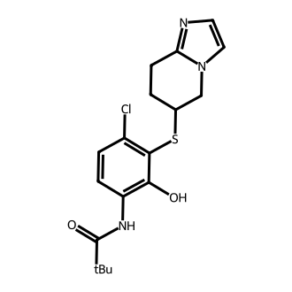 CC(C)(C)C(=O)Nc1ccc(Cl)c(SC2CCc3nccn3C2)c1O